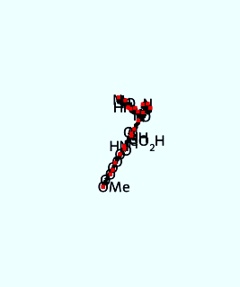 COCCOCCOCCOCCOCCOCCC(=O)NCCCC[C@H](NC(=O)O)C(=O)NCCCCCCN1N=C(c2ccc(NC(=O)N3Cc4ccncc4C3)cc2)CC(c2cccc3ncccc23)C1=O